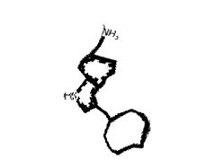 Nc1ccc2c(C3CCCCC3)c[nH]c2c1